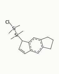 C[Si](C)(Cl)[Si](C)(C)C1C=Cc2cc3c(cc21)CCC3